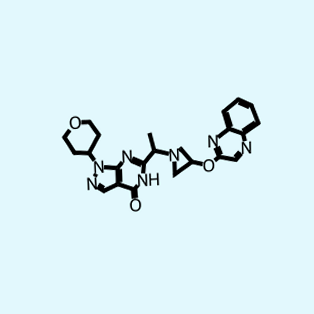 CC(c1nc2c(cnn2C2CCOCC2)c(=O)[nH]1)N1CC(Oc2cnc3ccccc3n2)C1